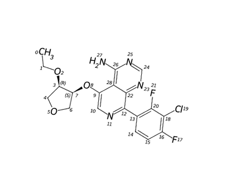 CCO[C@@H]1COC[C@@H]1Oc1cnc(-c2ccc(F)c(Cl)c2F)c2ncnc(N)c12